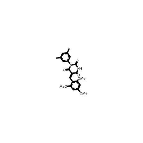 COc1cc(OC)c(C=C2C(=O)NC(=S)N(c3cc(C)cc(C)c3)C2=O)c(OC)c1